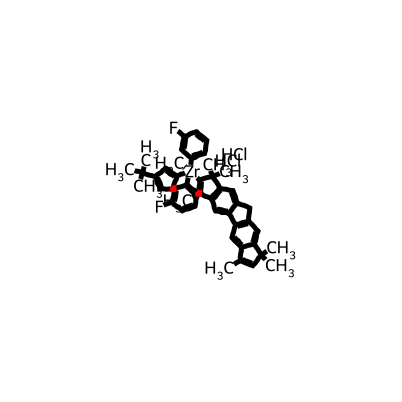 Cl.Cl.[CH2]=[Zr]([C]1=CC(C(C)(C)C)=CC1)([C]1=C(C)c2cc3c(cc2C1(C)C)Cc1cc2c(cc1-3)C(C)=CC2(C)C)([c]1cccc(F)c1)[c]1cccc(F)c1